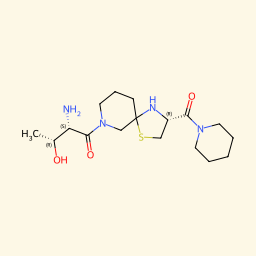 C[C@@H](O)[C@H](N)C(=O)N1CCCC2(C1)N[C@H](C(=O)N1CCCCC1)CS2